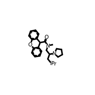 CC(C)CC(CN(C)C(=O)C1c2ccccc2Oc2ccccc21)N1CCCC1